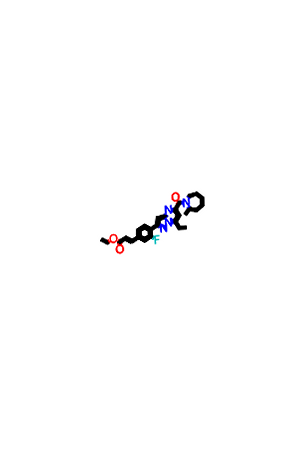 CCOC(=O)/C=C/c1ccc(-c2cc3nc(C(=O)N4CCCCCC4C)cc(CC)n3n2)c(F)c1